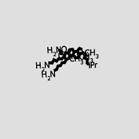 CC(C)CCC[C@@H](C)[C@H]1CCC2C3CC=C4CC(CCCCCCN)(OC(N)=O)C(CCCCCCN)C[C@]4(C)C3CC[C@@]21C